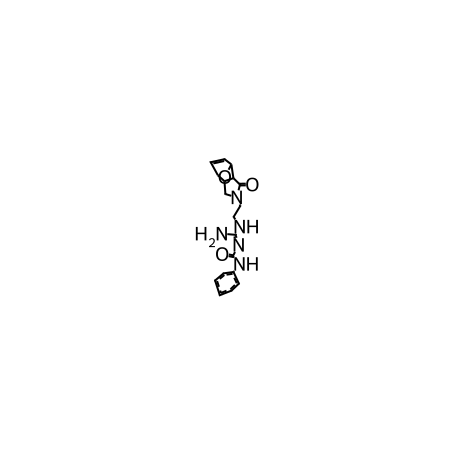 N/C(=N\C(=O)Nc1ccccc1)NCCN1CC2C3C=CC(O3)C2C1=O